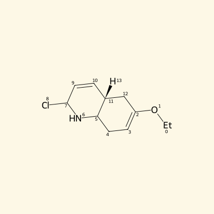 CCOC1=CCC2NC(Cl)C=C[C@@H]2C1